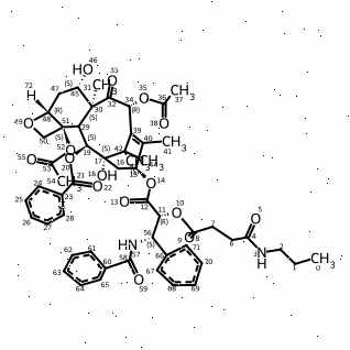 CCCNC(=O)CCC(=O)O[C@@H](C(=O)O[C@H]1C[C@@]2(O)[C@@H](OC(=O)c3ccccc3)C3[C@](C)(C(=O)[C@H](OC(C)=O)C(=C1C)C2(C)C)[C@@H](O)C[C@H]1OC[C@@]31OC(C)=O)[C@@H](NC(=O)c1ccccc1)c1ccccc1